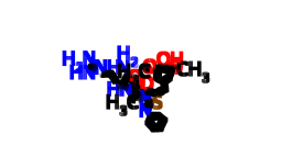 COc1cc(C=C2SC(=Nc3ccccc3)N([C@@H](C)C(=O)N[C@@H](CCCNC(=N)N)C(N)=O)C2=O)cc(OC)c1O